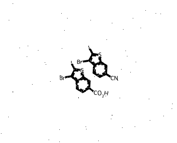 N#Cc1ccc2c(Br)c(I)sc2c1.O=C(O)c1ccc2c(Br)c(I)sc2c1